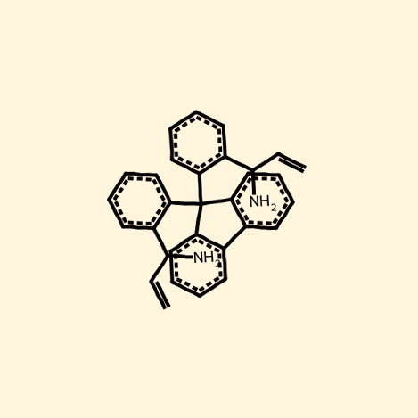 C=CC(N)c1ccccc1C1(c2ccccc2C(N)C=C)c2ccccc2-c2ccccc21